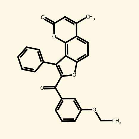 CCOc1cccc(C(=O)c2oc3ccc4c(C)cc(=O)oc4c3c2-c2ccccc2)c1